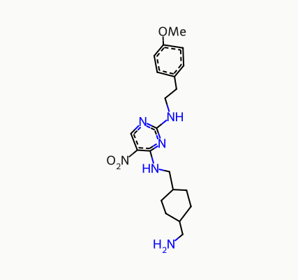 COc1ccc(CCNc2ncc([N+](=O)[O-])c(NCC3CCC(CN)CC3)n2)cc1